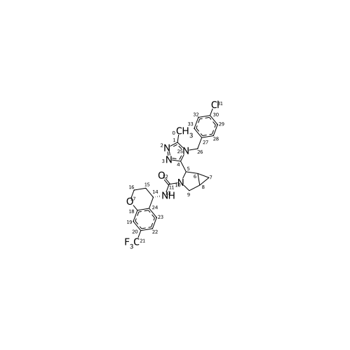 Cc1nnc(C2C3CC3CN2C(=O)N[C@H]2CCOc3cc(C(F)(F)F)ccc32)n1Cc1ccc(Cl)cc1